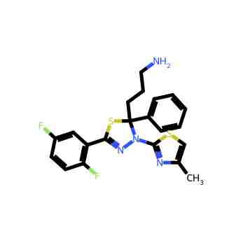 Cc1csc(N2N=C(c3cc(F)ccc3F)SC2(CCCN)c2ccccc2)n1